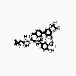 CCC(Oc1cc(F)c(C)c(C2=CCC3CO[C@@H](CNC(O)CC4(F)CC4)CN(S(=O)(=O)C4CCC(C)[C@H](C(F)(F)F)C4)C3C2)c1)C(F)F